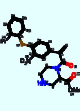 C=C(C(=O)N1CCNCC1C(=O)OC)c1ccc(Sc2ccccc2C(C)C)c([N+](=O)[O-])c1